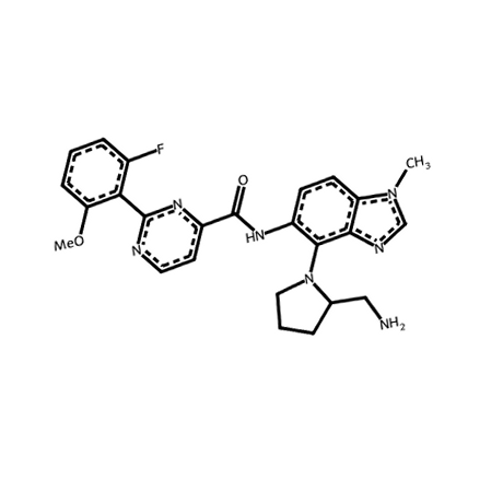 COc1cccc(F)c1-c1nccc(C(=O)Nc2ccc3c(ncn3C)c2N2CCCC2CN)n1